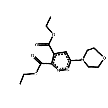 CCOC(=O)c1cc(N2CCOCC2)nnc1C(=O)OCC